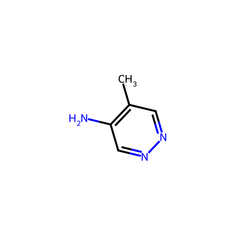 Cc1cnncc1N